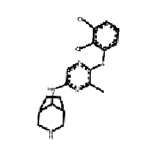 Cc1nc(NC2C3CCC2CNC3)cnc1Sc1cccc(Cl)c1Cl